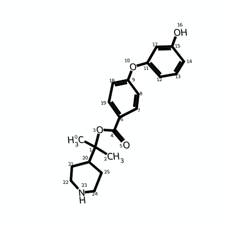 CC(C)(OC(=O)c1ccc(Oc2cccc(O)c2)cc1)C1CCNCC1